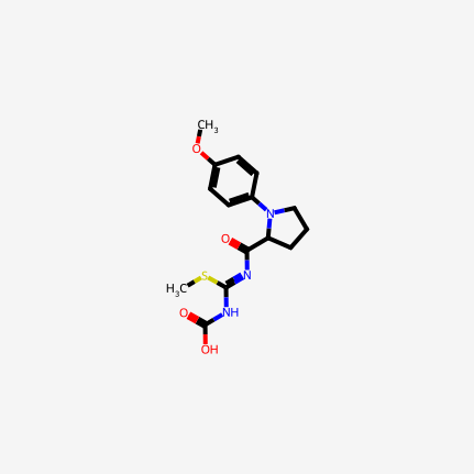 COc1ccc(N2CCCC2C(=O)N=C(NC(=O)O)SC)cc1